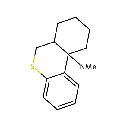 CNC12CCCCC1CSc1ccccc12